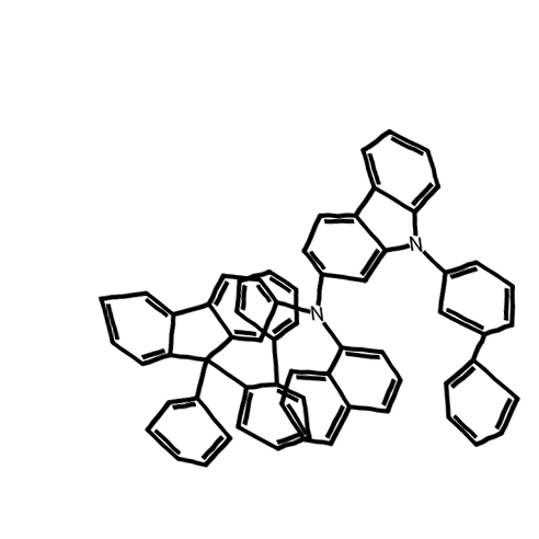 c1ccc(-c2cccc(-n3c4ccccc4c4ccc(N(c5ccc6c(c5)C(c5ccccc5)(c5ccccc5-c5ccccc5)c5ccccc5-6)c5cccc6ccccc56)cc43)c2)cc1